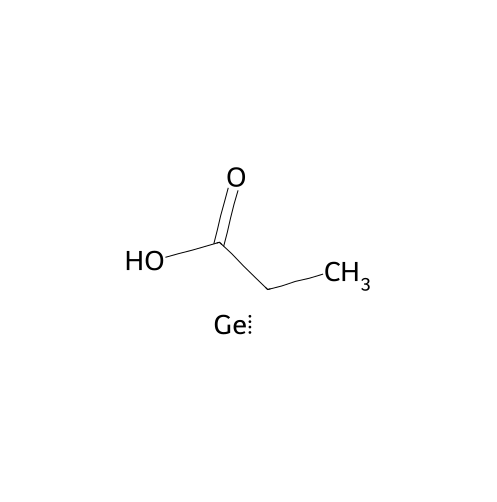 CCC(=O)O.[Ge]